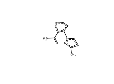 Cc1ncn(-c2ccccc2C(N)=O)n1